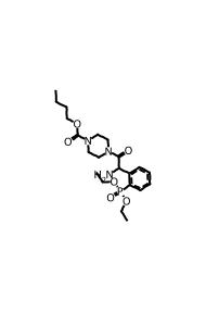 CCCCOC(=O)N1CCN(C(=O)C(N)c2ccccc2P(=O)(OCC)OCC)CC1